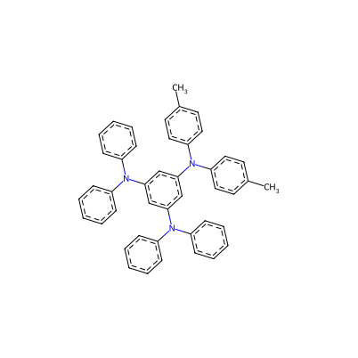 Cc1ccc(N(c2ccc(C)cc2)c2cc(N(c3ccccc3)c3ccccc3)cc(N(c3ccccc3)c3ccccc3)c2)cc1